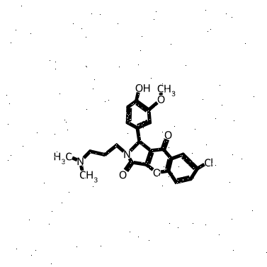 COc1cc(C2c3c(oc4ccc(Cl)cc4c3=O)C(=O)N2CCCN(C)C)ccc1O